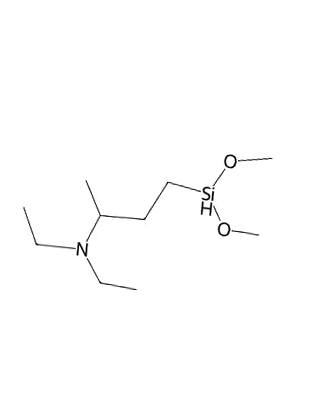 CCN(CC)C(C)CC[SiH](OC)OC